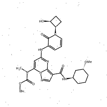 CO[C@@H]1CCC[C@@H](NC(=O)c2cnn3c(N(C)C(=O)OC(C)(C)C)cc(Nc4cccn([C@@H]5CC[C@@H]5O)c4=O)nc23)C1